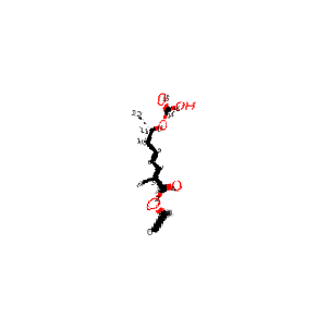 CCOC(=O)/C(C)=C/C=C/C[C@H](C)OC(=O)O